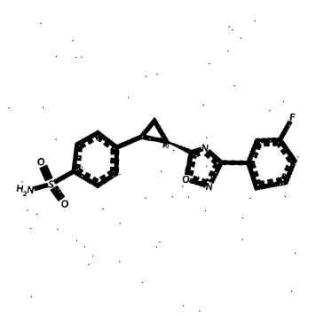 NS(=O)(=O)c1ccc(C2C[C@H]2c2nc(-c3cccc(F)c3)no2)cc1